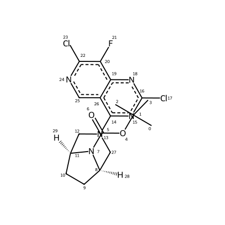 CC(C)(C)OC(=O)N1[C@@H]2CC[C@H]1CN(c1nc(Cl)nc3c(F)c(Cl)ncc13)C2